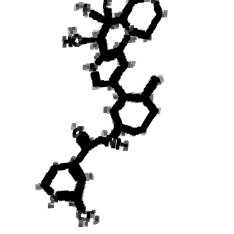 CC1CCC(NC(=O)c2ccnc(C(F)(F)F)c2)CC1c1cnc2c(c1)N1CCOCC1C(F)(F)[C@@H]2O